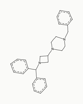 c1ccc(CN2CCN(C3CN(C(c4ccccc4)c4ccccc4)C3)CC2)cc1